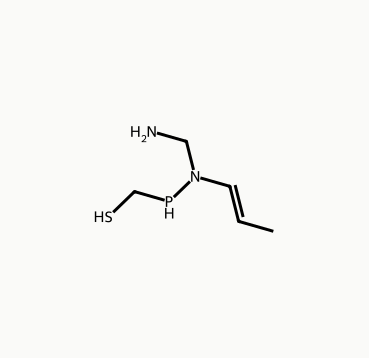 CC=CN(CN)PCS